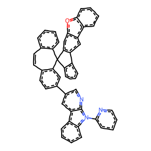 C1=Cc2ccc(-c3cnc4c(c3)c3ccccc3n4-c3ccccn3)cc2C2(c3ccccc31)c1ccccc1-c1cc3c(cc12)oc1ccccc13